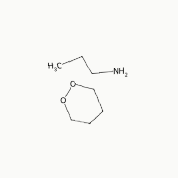 C1CCOOC1.CCCN